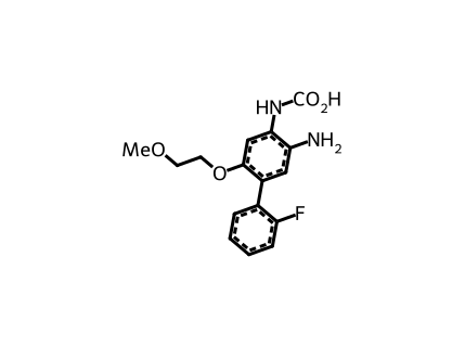 COCCOc1cc(NC(=O)O)c(N)cc1-c1ccccc1F